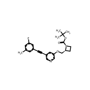 Cc1cc(F)cc(C#Cc2cncc(OC[C@@H]3CCN3C(=O)OC(C)(C)C)c2)c1